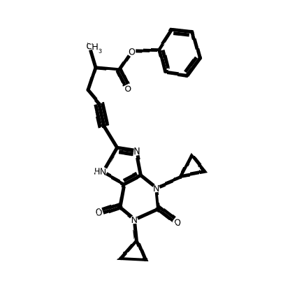 CC(CC#Cc1nc2c([nH]1)c(=O)n(C1CC1)c(=O)n2C1CC1)C(=O)Oc1ccccc1